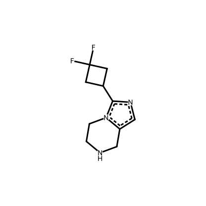 FC1(F)CC(c2ncc3n2CCNC3)C1